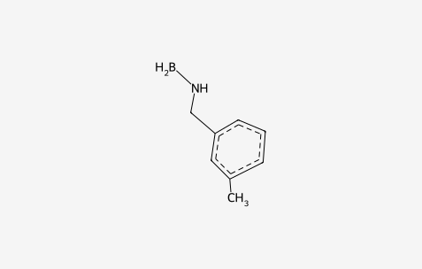 BNCc1cccc(C)c1